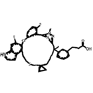 Cn1nc2nc1-c1cc(ccc1F)Oc1c(F)cc3[nH]ccc3c1CCSCC1(CCCC2(C)c2cccc(CCC(=O)O)c2)CC1